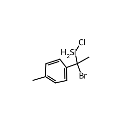 Cc1ccc(C(C)(Br)[SiH2]Cl)cc1